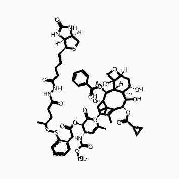 CC(=O)O[C@@]12CO[C@@H]1C[C@H](O)[C@@]1(C)C(O)[C@H](OC(=O)C3CC3)C3=C(C)[C@@H](OC(=O)[C@H](OC(=O)Cc4ccccc4SSC(C)CCC(=O)NNC(=O)CCCC[C@@H]4SC[C@@H]5NC(=O)N[C@@H]54)[C@H](C=C(C)C)NC(=O)OC(C)(C)C)C[C@@](O)([C@@H](OC(=O)c4ccccc4)[C@H]21)C3(C)C